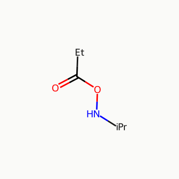 CCC(=O)ONC(C)C